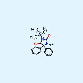 CCN1C(=O)N([Si](C)(C)C)C(=O)C1(c1ccccc1)c1ccccc1